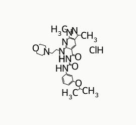 Cc1nn(C)c2nc(NCCN3CCOCC3)c(C(=O)NC(=O)Nc3cccc(OC(C)C)c3)cc12.Cl